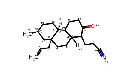 C=CC[C@]12CC[C@H]3C(CCC#N)C(=O)CCC3[C@H]1CC[C@H](C)C2